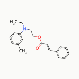 CCN(CCOC(=O)C=Cc1ccccc1)c1cccc(C)c1